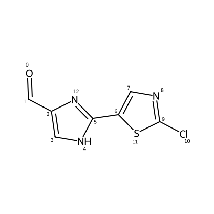 O=Cc1c[nH]c(-c2cnc(Cl)s2)n1